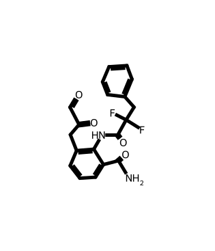 NC(=O)c1cccc(CC(=O)C=O)c1NC(=O)C(F)(F)Cc1ccccc1